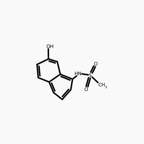 CS(=O)(=O)Nc1cccc2ccc(O)cc12